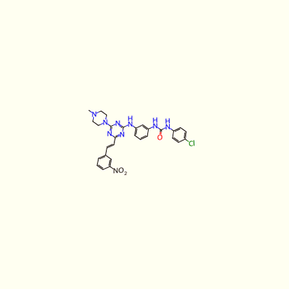 CN1CCN(c2nc(C=Cc3cccc([N+](=O)[O-])c3)nc(Nc3cccc(NC(=O)Nc4ccc(Cl)cc4)c3)n2)CC1